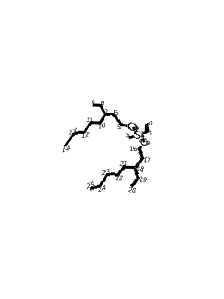 C=C[Si](C)(OCCC(CC)CCCCC)OCCC(CC)CCCCC